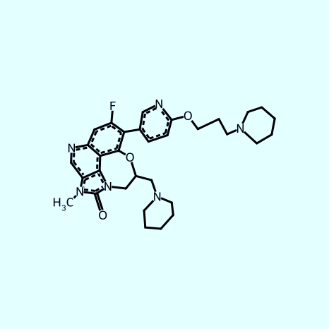 Cn1c(=O)n2c3c4c(c(-c5ccc(OCCCN6CCCCC6)nc5)c(F)cc4ncc31)OC(CN1CCCCC1)C2